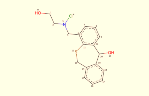 OCCN(Cl)Cc1cccc2c1SCc1ccccc1C2O